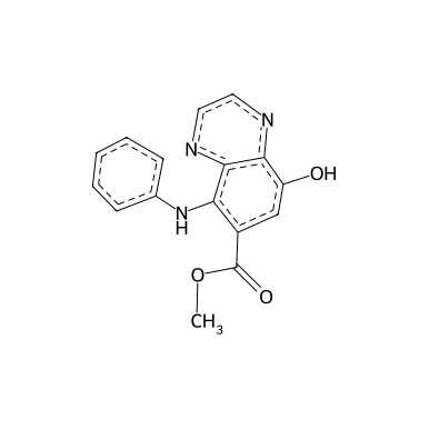 COC(=O)c1cc(O)c2nccnc2c1Nc1ccccc1